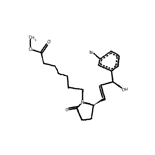 COC(=O)CCCCCCN1C(=O)CC[C@@H]1C=CC(O)c1cccc(Br)c1